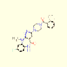 CN1c2cc(F)ccc2NC(=O)c2cc(N3CCN(C(=O)c4ccccc4C(F)(F)F)CC3)nnc21